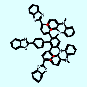 CN1c2ccccc2N(c2cc(N3c4ccccc4N(C)c4ccccc43)c(-c3ccc(-c4nc5ccccc5s4)cc3)c(-c3ccc(-c4nc5ccccc5s4)cc3)c2-c2ccc(-c3nc4ccccc4s3)cc2)c2ccccc21